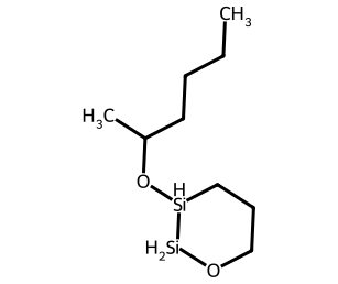 CCCCC(C)O[SiH]1CCCO[SiH2]1